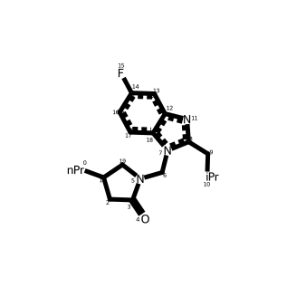 CCCC1CC(=O)N(Cn2c(CC(C)C)nc3cc(F)ccc32)C1